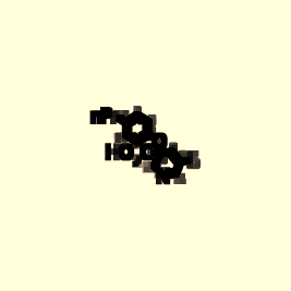 CCCc1ccc(OC2(C(=O)O)C=C(F)C=NC2)cc1